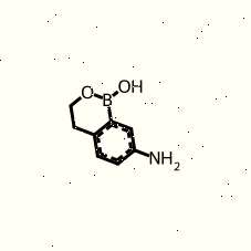 Nc1ccc2c(c1)B(O)OCC2